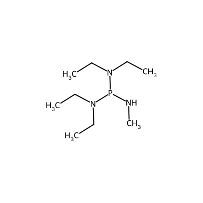 CCN(CC)P(NC)N(CC)CC